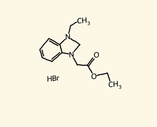 Br.CCOC(=O)CN1CN(CC)c2ccccc21